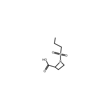 CCCS(=O)(=O)N1CCC1C(=O)O